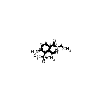 CCn1ncc2c(P(C)(C)=O)c(N)ccc2c1=O